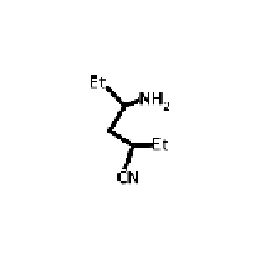 CCC(N)CC(C#N)CC